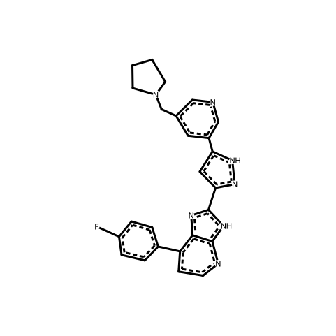 Fc1ccc(-c2ccnc3[nH]c(-c4cc(-c5cncc(CN6CCCC6)c5)[nH]n4)nc23)cc1